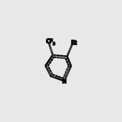 [CH2]Cc1cnccc1C(F)(F)F